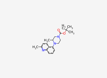 Cc1ccc2c(N3CCN(C(=O)OC(C)(C)C)CC3C)cccc2n1